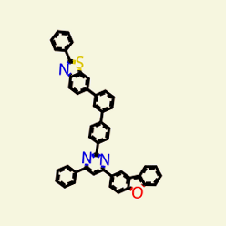 c1ccc(-c2cc(-c3ccc4oc5ccccc5c4c3)nc(-c3ccc(-c4cccc(-c5ccc6nc(-c7ccccc7)sc6c5)c4)cc3)n2)cc1